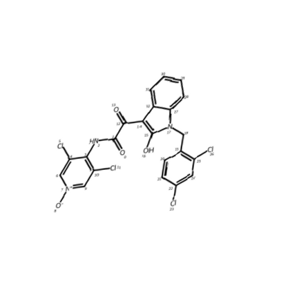 O=C(Nc1c(Cl)c[n+]([O-])cc1Cl)C(=O)c1c(O)n(Cc2ccc(Cl)cc2Cl)c2ccccc12